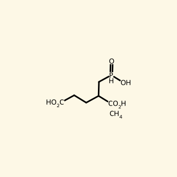 C.O=C(O)CCC(C[PH](=O)O)C(=O)O